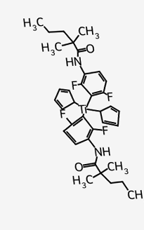 CCCC(C)(C)C(=O)Nc1ccc(F)[c]([Ti]([c]2c(F)ccc(NC(=O)C(C)(C)CCC)c2F)([CH]2C=CC=C2)[CH]2C=CC=C2)c1F